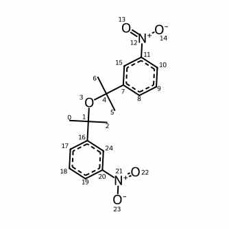 CC(C)(OC(C)(C)c1cccc([N+](=O)[O-])c1)c1cccc([N+](=O)[O-])c1